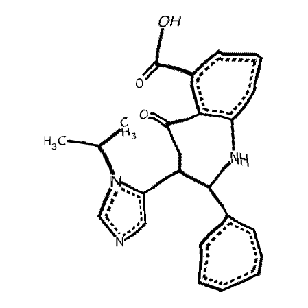 CC(C)n1cncc1C1C(=O)c2c(cccc2C(=O)O)NC1c1ccccc1